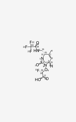 CC1=C[C@H]2CN(C(=O)N2O[C@@H](F)C(=O)O)[C@@H]1CNC(=O)C(F)(F)F